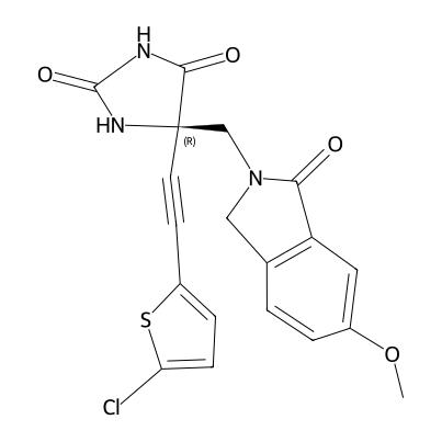 COc1ccc2c(c1)C(=O)N(C[C@@]1(C#Cc3ccc(Cl)s3)NC(=O)NC1=O)C2